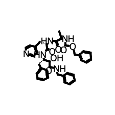 CC(NC(=O)OCc1ccccc1)C(=O)N[C@@H](Cc1ccncc1)C(=O)N[C@@H](Cc1ccccc1)[C@H](O)C(=O)NCc1ccccc1